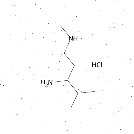 CNCCC(N)C(C)C.Cl